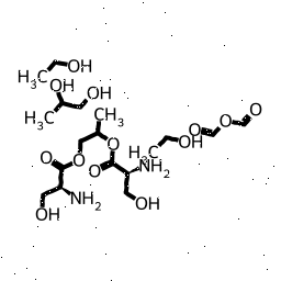 CC(COC(=O)[C@@H](N)CO)OC(=O)[C@@H](N)CO.CC(O)CO.CCO.CCO.O=COC=O